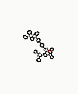 c1ccc(-c2cc(-c3ccc(-n4c5ccccc5c5ccccc54)c(-c4nc(-c5ccccc5)nc(-c5ccc(-c6ccc(N7c8ccccc8B8c9ccccc9N(c9ccccc9)c9cccc7c98)cc6)cc5)n4)c3)nc(-c3ccccc3)n2)cc1